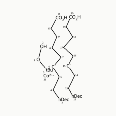 CC(C)(C)OO.CCCCCCCCCCCC[CH-]CCCCC(=O)O.CCCCCCCCCCCC[CH-]CCCCC(=O)O.[Co+2]